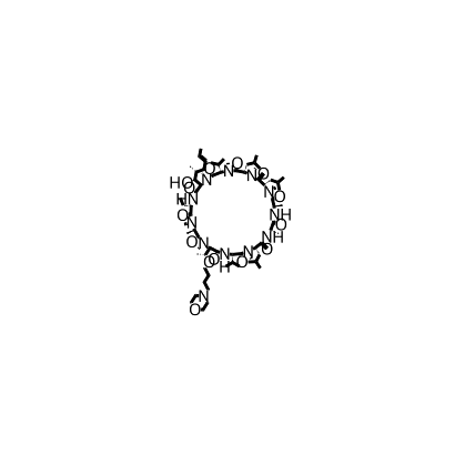 C/C=C/C[C@@H](C)[C@@H](O)[C@H]1C(=O)N[C@@H](CC)C(=O)N(C)[C@H](C)C(=O)N(C)[C@@H]([C@@H](C)OCCCCN2CCOCC2)C(=O)N[C@@H](C(C)C)C(=O)N(C)[C@@H](CC(C)C)C(=O)N[C@@H](C)C(=O)N[C@H](C)C(=O)N(C)[C@@H](CC(C)C)C(=O)N(C)[C@@H](CC(C)C)C(=O)N(C)[C@@H](C(C)C)C(=O)N1C